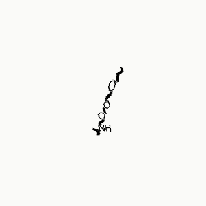 CCCCOCCOCCOCCNC(C)C